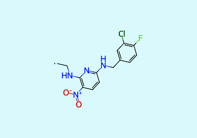 [CH2]CNc1nc(NCc2ccc(F)c(Cl)c2)ccc1[N+](=O)[O-]